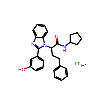 O=C(NC1CCCC1)C(CCc1ccccc1)n1c(-c2cccc(O)c2)nc2ccccc21.[Cl-].[H+]